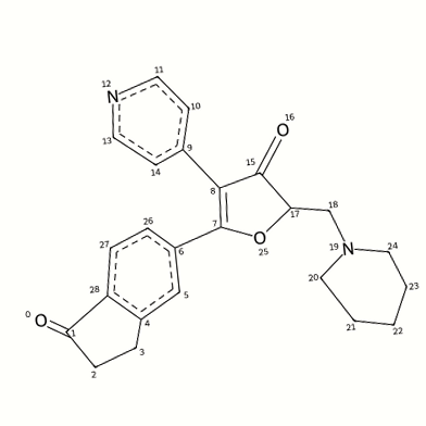 O=C1CCc2cc(C3=C(c4ccncc4)C(=O)C(CN4CCCCC4)O3)ccc21